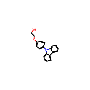 OCCOc1ccc(-n2c3ccccc3c3ccccc32)cc1